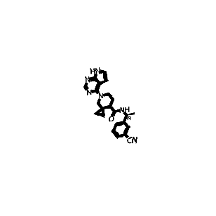 C[C@H](NC(=O)C1CCN(c2ncnc3[nH]ccc23)CC12CC2)c1cccc(C#N)c1